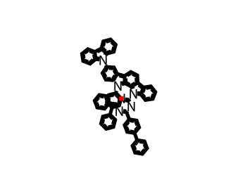 c1ccc(-c2ccc(-c3nc(-c4ccccc4)nc(-n4c5ccccc5c5ccc6c7cc(-n8c9ccccc9c9ccccc98)ccc7n(-c7ccc(-c8ccccc8)cc7)c6c54)n3)cc2)cc1